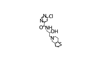 O=C(NCC(O)CN1CCc2sccc2C1)c1cc(Cl)ncn1